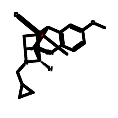 COc1ccc2c(c1)[C@@]13CC(=O)CC[C@@]1(O)[C@@H]1N(CC4CC4)C4CC3C41C2